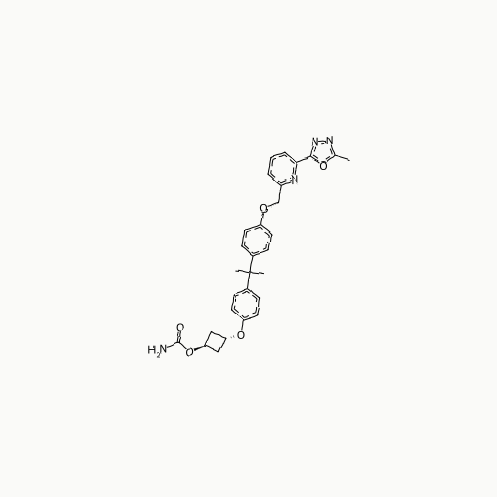 Cc1nnc(-c2cccc(COc3ccc(C(C)(C)c4ccc(O[C@H]5C[C@H](OC(N)=O)C5)cc4)cc3)n2)o1